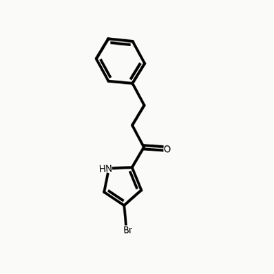 O=C(CCc1ccccc1)c1cc(Br)c[nH]1